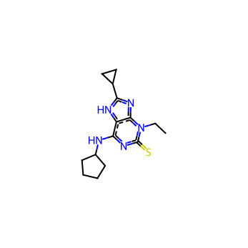 CCn1c(=S)nc(NC2CCCC2)c2[nH]c(C3CC3)nc21